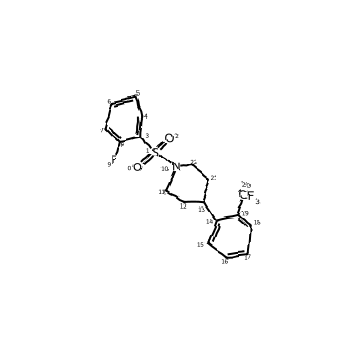 O=S(=O)(c1ccccc1F)N1CCC(c2ccccc2C(F)(F)F)CC1